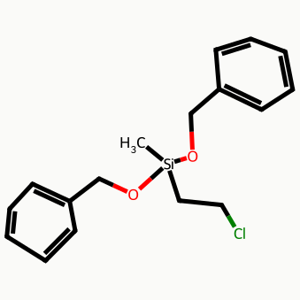 C[Si](CCCl)(OCc1ccccc1)OCc1ccccc1